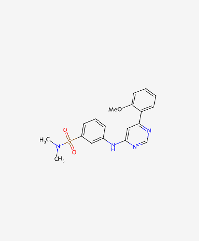 COc1ccccc1-c1cc(Nc2cccc(S(=O)(=O)N(C)C)c2)ncn1